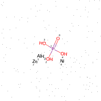 O=P(O)(O)O.[AlH3].[Ni].[Zn]